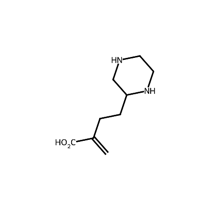 C=C(CCC1CNCCN1)C(=O)O